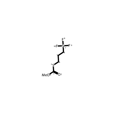 COC(=O)SCCC[Si](F)(F)F